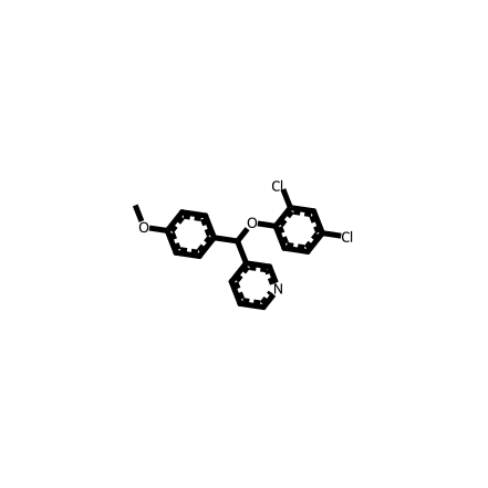 COc1ccc(C(Oc2ccc(Cl)cc2Cl)c2cccnc2)cc1